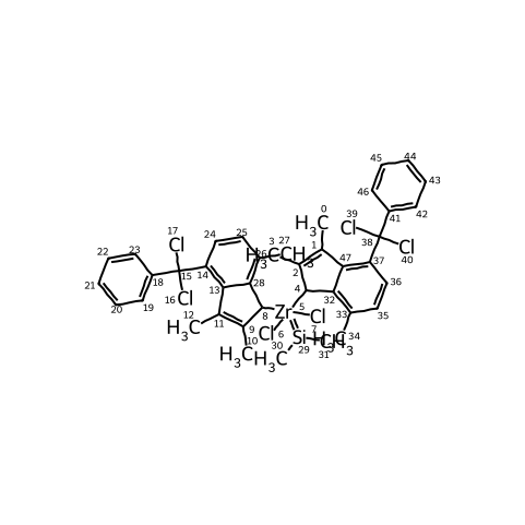 CC1=C(C)[CH]([Zr]([Cl])([Cl])([CH]2C(C)=C(C)c3c(C(Cl)(Cl)c4ccccc4)ccc(C)c32)=[Si](C)C)c2c(C)ccc(C(Cl)(Cl)c3ccccc3)c21